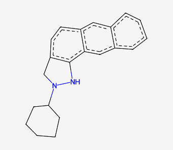 c1ccc2cc3c4c(ccc3cc2c1)CN(C1CCCCC1)N4